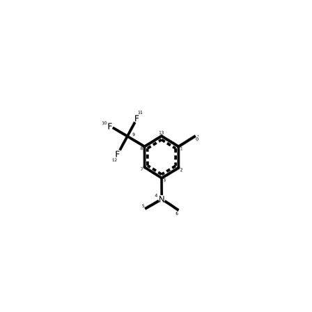 [CH2]c1cc(N(C)C)cc(C(F)(F)F)c1